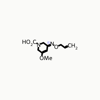 C=CCO/N=C1\C=C(OC)CN(C(=O)O)C1